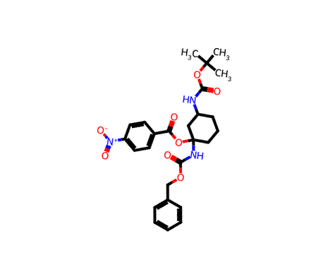 CC(C)(C)OC(=O)NC1CCCC(NC(=O)OCc2ccccc2)(OC(=O)c2ccc([N+](=O)[O-])cc2)C1